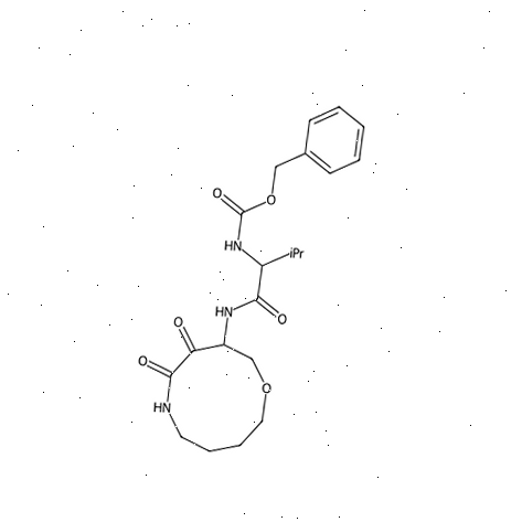 CC(C)C(NC(=O)OCc1ccccc1)C(=O)NC1COCCCCNC(=O)C1=O